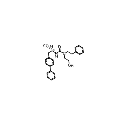 O=C(O)[C@H](Cc1ccc(-c2ccccc2)cc1)NC(=O)N(CCO)CCc1ccccc1